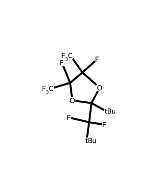 CC(C)(C)C(F)(F)C1(C(C)(C)C)OC(F)(C(F)(F)F)C(F)(C(F)(F)F)O1